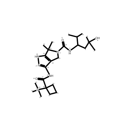 CC(C)C(CC(C)(C)O)NC(=O)N1Cc2c(NC(=O)C3([Si](C)(C)C)CCC3)n[nH]c2C1(C)C